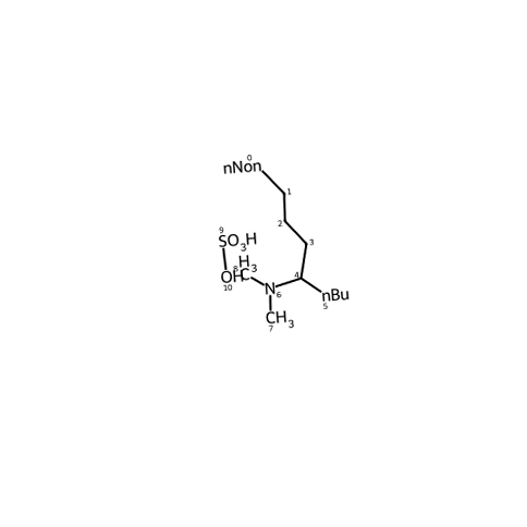 CCCCCCCCCCCCC(CCCC)N(C)C.O=S(=O)(O)O